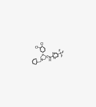 FC(F)(F)c1cnc(NC[C@H]2CN(Cc3ccccc3)C[C@@H]2c2ccc(Cl)c(Cl)c2)nc1